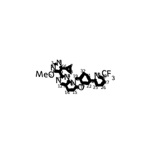 COc1ncnc(C2CC2)c1-c1ncc2ccc(=O)n(Cc3ccc(-c4cccc(C(F)(F)F)n4)cc3)c2n1